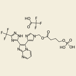 O=C(CCCOP(=O)(O)O)OCn1cnc(-c2c(-c3nc(C(F)(F)F)n[nH]3)nc3ncccn23)c1.O=C(O)C(F)(F)F